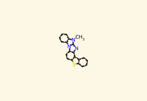 Cn1c2ccccc2n2c3ccc4sc5ccccc5c4c3nc12